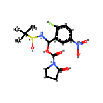 CC(C)(C)[S+]([O-])NC(OC(=O)N1CCCC1=O)c1cc([N+](=O)[O-])ccc1F